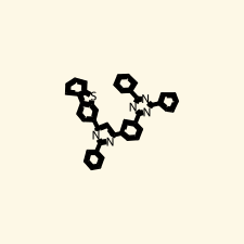 c1ccc(-c2nc(-c3cccc(-c4nc(-c5ccccc5)nc(-c5ccccc5)n4)c3)cc(-c3ccc4c(c3)sc3ccccc34)n2)cc1